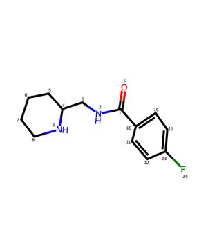 O=C(NCC1CCCCN1)c1ccc(F)cc1